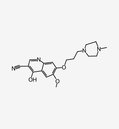 COc1cc2c(O)c(C#N)cnc2cc1OCCCN1CCN(C)CC1